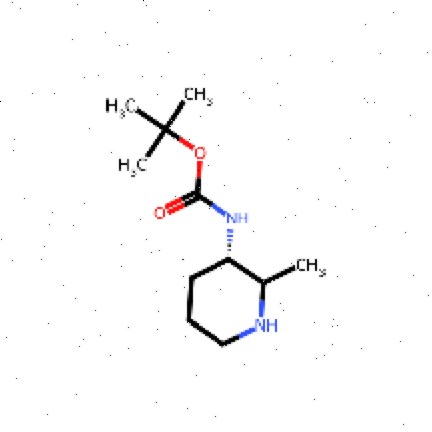 CC1NCCC[C@@H]1NC(=O)OC(C)(C)C